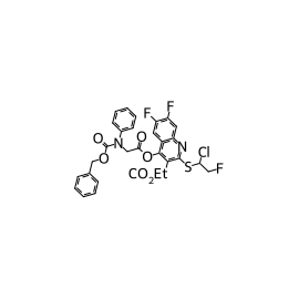 CCOC(=O)c1c(SC(Cl)CF)nc2cc(F)c(F)cc2c1OC(=O)CN(C(=O)OCc1ccccc1)c1ccccc1